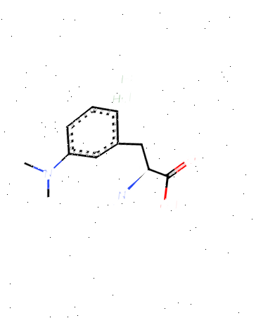 CN(C)c1cccc(C[C@H](N)C(=O)O)c1.Cl.Cl